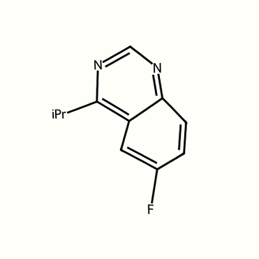 CC(C)c1ncnc2ccc(F)cc12